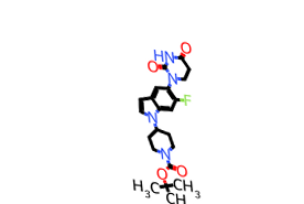 CC(C)(C)OC(=O)N1CCC(n2ccc3cc(N4CCC(=O)NC4=O)c(F)cc32)CC1